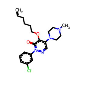 C=CCCCCOc1c(N2CCN(C)CC2)cnn(-c2cccc(Cl)c2)c1=O